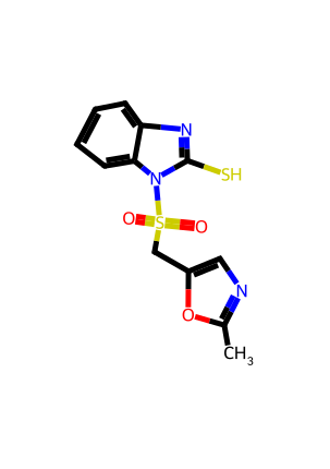 Cc1ncc(CS(=O)(=O)n2c(S)nc3ccccc32)o1